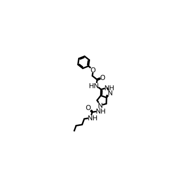 CCCCNC(=O)NN1Cc2n[nH]c(NC(=O)COc3ccccc3)c2C1